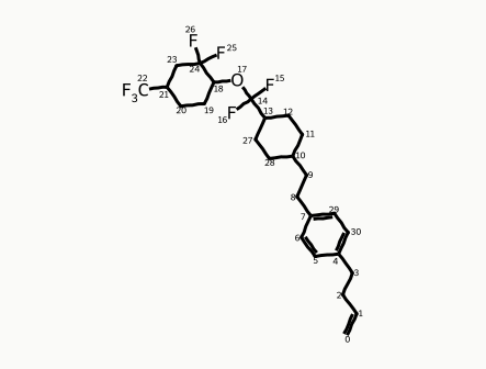 C=CCCc1ccc(CCC2CCC(C(F)(F)OC3CCC(C(F)(F)F)CC3(F)F)CC2)cc1